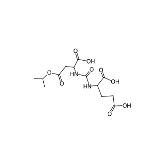 CC(C)OC(=O)CC(NC(=O)NC(CCC(=O)O)C(=O)O)C(=O)O